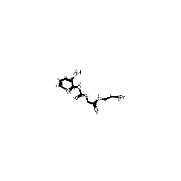 CC(C)CCOC(=O)CNC(=O)Oc1ncccc1O